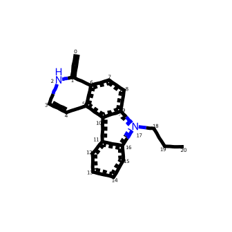 C=C1NC=Cc2c1ccc1c2c2ccccc2n1CCC